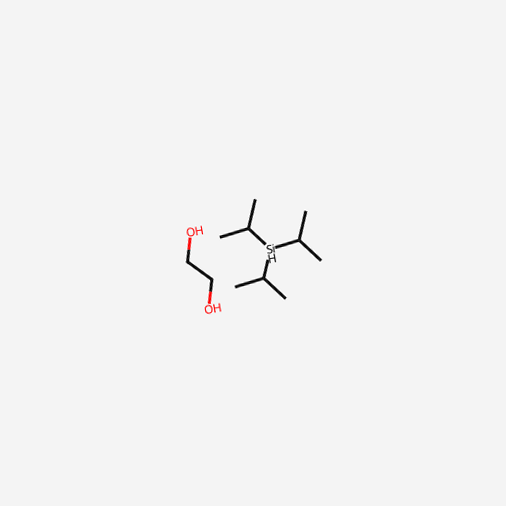 CC(C)[SiH](C(C)C)C(C)C.OCCO